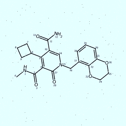 CNC(=O)c1c(C2CCC2)c(C(N)=O)cn(Cc2cccc3c2OCCO3)c1=O